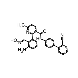 Cc1ccc(C(=O)Nc2ccc(-c3ccccc3C#N)cc2)c(-c2cccc(N)c2C=NO)n1